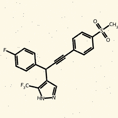 CS(=O)(=O)c1ccc(C#CC(c2ccc(F)cc2)c2cn[nH]c2C(F)(F)F)cc1